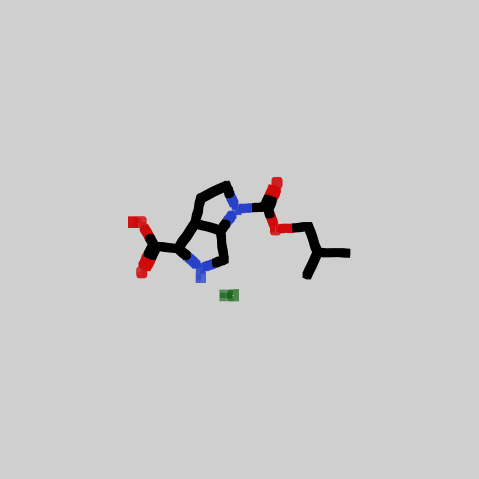 CC(C)COC(=O)N1CCC2C(C(=O)O)NCC21.Cl